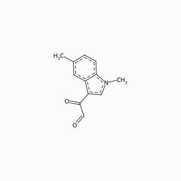 Cc1ccc2c(c1)c(C(=O)C=O)cn2C